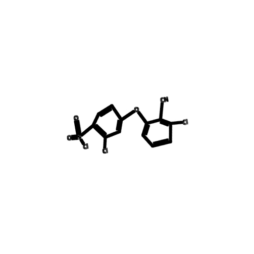 N#Cc1c(Cl)cccc1Oc1ccc(S(=O)(=O)Cl)c(Cl)c1